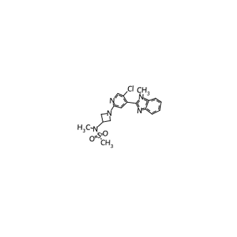 CN(C1CN(c2cc(-c3nc4ccccc4n3C)c(Cl)cn2)C1)S(C)(=O)=O